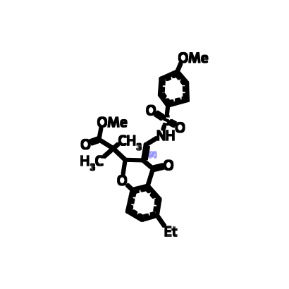 CCc1ccc2c(c1)C(=O)/C(=C\NS(=O)(=O)c1ccc(OC)cc1)C(C(C)(C)C(=O)OC)O2